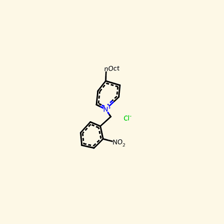 CCCCCCCCc1cc[n+](Cc2ccccc2[N+](=O)[O-])cc1.[Cl-]